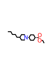 CCCCCC1CCN([C@H]2CC[C@H](C(=O)OCC)CC2)CC1